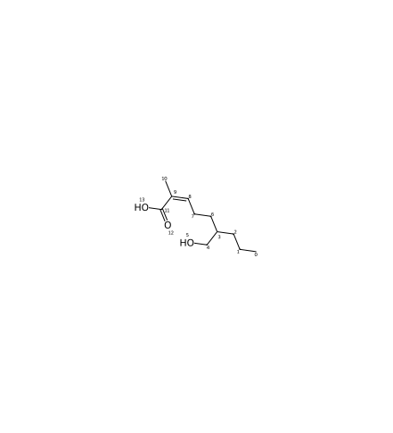 CCCC(CO)CCC=C(C)C(=O)O